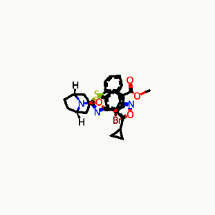 COC(=O)c1cc(Br)c2nc(N3[C@@H]4CC[C@H]3CC(OCc3c(-c5ccccc5F)noc3C3CC3)C4)sc2c1